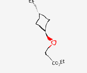 CCOC(=O)CO[C@H]1C[C@H](CC)C1